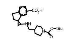 CC(C)(C)OC(=O)N1CCC(CNC2CC23CCc2ccc(C(=O)O)cc23)CC1